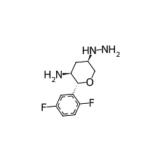 NN[C@H]1CO[C@H](c2cc(F)ccc2F)[C@@H](N)C1